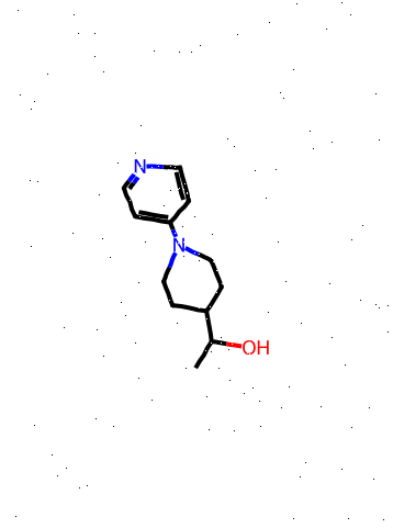 CC(O)C1CCN(c2ccncc2)CC1